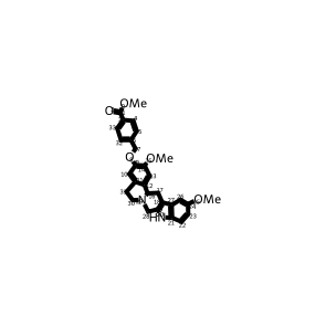 COC(=O)c1ccc(COc2cc3c(cc2OC)C2Cc4c([nH]c5ccc(OC)cc45)CN2CC3)cc1